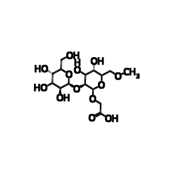 COCC1OC(OCC(=O)O)[C@@H](O[C@@H]2OC(CO)[C@@H](O)C(O)[C@@H]2O)C(O)[C@@H]1O